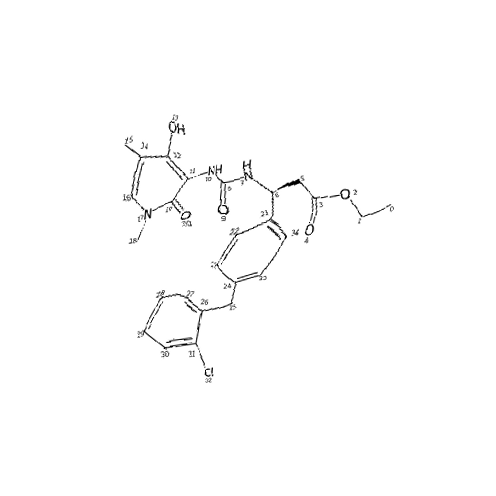 CCOC(=O)C[C@H](NC(=O)Nc1c(O)c(C)cn(C)c1=O)c1ccc(Cc2ccccc2Cl)cc1